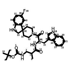 CC(CNC(=O)OC(C)(C)C)C(=O)N[C@H](Cc1c[nH]c2ccccc12)C(=O)N1CCC2(CC1)CNc1ccc(F)cc12